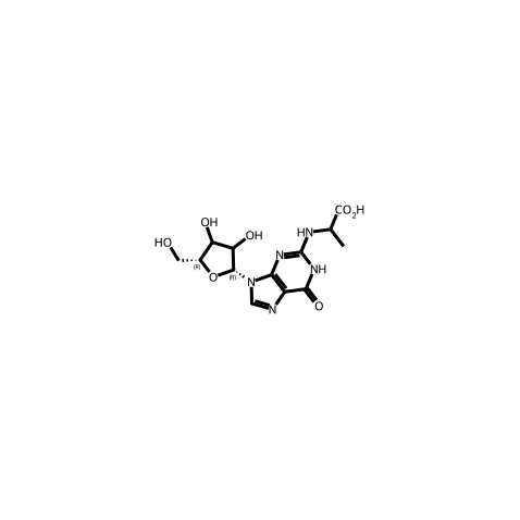 CC(Nc1nc2c(ncn2[C@@H]2O[C@H](CO)C(O)C2O)c(=O)[nH]1)C(=O)O